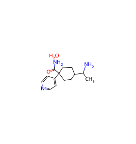 CC(N)C1CCC(C(N)=O)(c2ccncc2)CC1.O